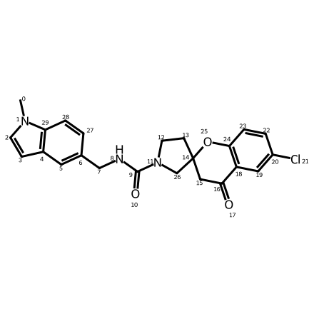 Cn1ccc2cc(CNC(=O)N3CCC4(CC(=O)c5cc(Cl)ccc5O4)C3)ccc21